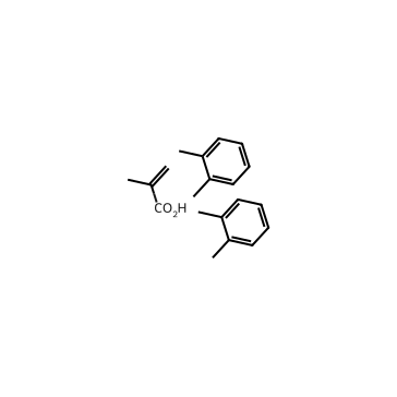 C=C(C)C(=O)O.Cc1ccccc1C.Cc1ccccc1C